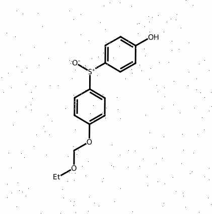 CCOCOc1ccc([S+]([O-])c2ccc(O)cc2)cc1